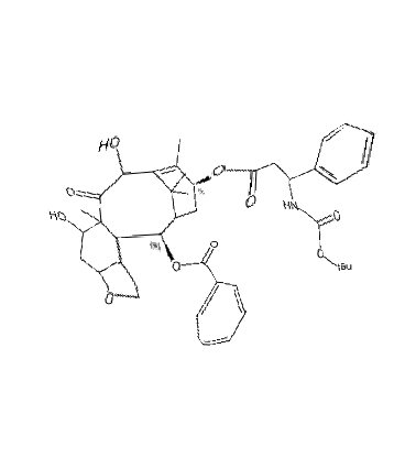 CC1=C2C(O)C(=O)C3(C)C(O)CC4OCC4C3[C@H](OC(=O)c3ccccc3)C(C[C@@H]1OC(=O)CC(NC(=O)OC(C)(C)C)c1ccccc1)C2(C)C